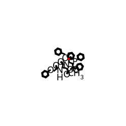 COC(=O)C(C(C(=O)OCc1ccccc1)N1C(=O)C(NC(=O)COc2ccccc2)C1C=O)=P(c1ccccc1)(c1ccccc1)c1ccccc1